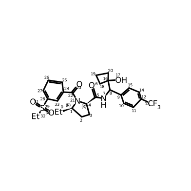 CC[C@@H]1CC[C@H](C(=O)NC(c2ccc(C(F)(F)F)cc2)C2(O)CCC2)N1C(=O)c1cccc(S(=O)(=O)CC)c1